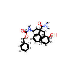 CN(C)C(=O)C(CCN(C)C(=O)OCc1ccccc1)(Cc1ccccc1O)c1ccccc1